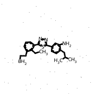 BCCc1cccc(-c2nnc(-c3ccc(CC(C)C)c(N)c3)s2)c1CC